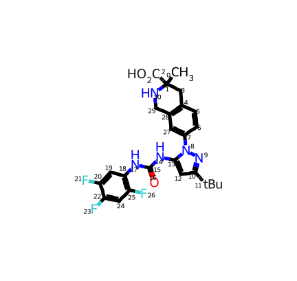 CC1(C(=O)O)Cc2ccc(-n3nc(C(C)(C)C)cc3NC(=O)Nc3cc(F)c(F)cc3F)cc2CN1